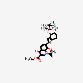 CCOC(=O)c1cn(C2CC2)c2c(OC)c(-c3cc4c(s3)CCCC4O[Si](C)(C)C(C)(C)C)ccc2c1=O